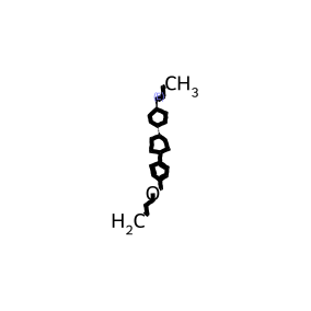 C=CCCOCc1ccc(C2CCC([C@H]3CC[C@H](/C=C/CC)CC3)CC2)cc1